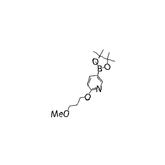 COCCCOc1ccc(B2OC(C)(C)C(C)(C)O2)cn1